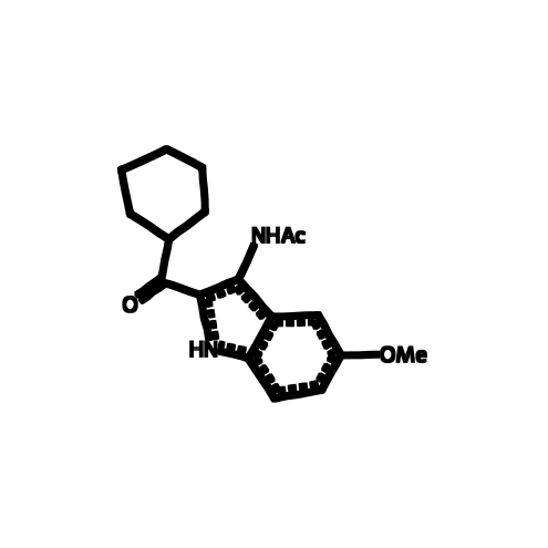 COc1ccc2[nH]c(C(=O)C3CCCCC3)c(NC(C)=O)c2c1